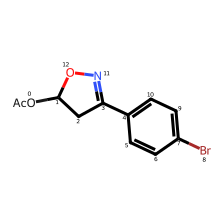 CC(=O)OC1CC(c2ccc(Br)cc2)=NO1